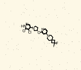 O=c1[nH]ncc(N2CCC(Oc3cc(N4CCC5(CC4)CC(F)(F)C5)ccn3)C2)c1Cl